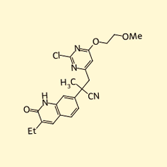 CCc1cc2ccc(C(C)(C#N)Cc3cc(OCCOC)nc(Cl)n3)cc2[nH]c1=O